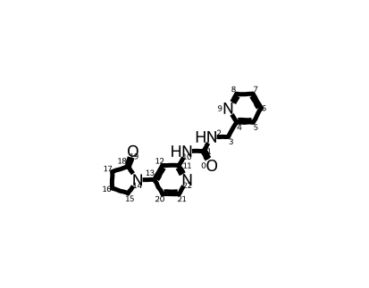 O=C(NCc1ccccn1)Nc1cc(N2CCCC2=O)ccn1